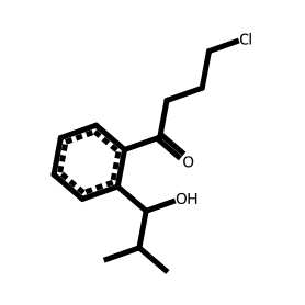 CC(C)C(O)c1ccccc1C(=O)CCCCl